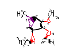 COC1=C[PH](C)=CC(OC)=C1OC